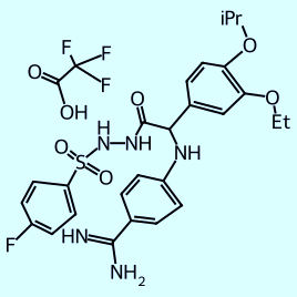 CCOc1cc(C(Nc2ccc(C(=N)N)cc2)C(=O)NNS(=O)(=O)c2ccc(F)cc2)ccc1OC(C)C.O=C(O)C(F)(F)F